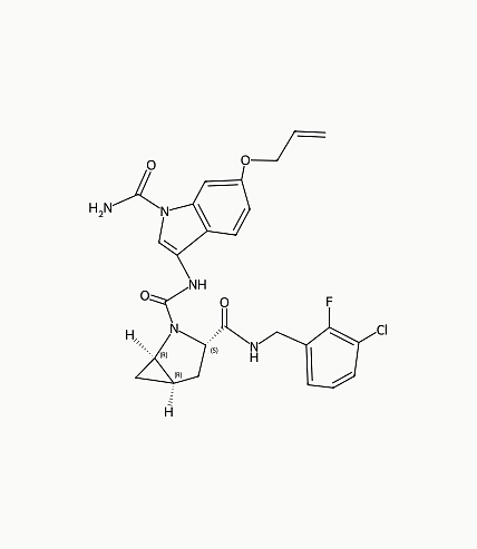 C=CCOc1ccc2c(NC(=O)N3[C@@H]4C[C@@H]4C[C@H]3C(=O)NCc3cccc(Cl)c3F)cn(C(N)=O)c2c1